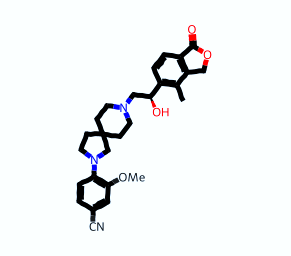 COc1cc(C#N)ccc1N1CCC2(CCN(C[C@H](O)c3ccc4c(c3C)COC4=O)CC2)C1